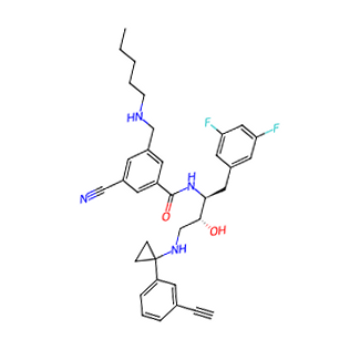 C#Cc1cccc(C2(NC[C@@H](O)[C@H](Cc3cc(F)cc(F)c3)NC(=O)c3cc(C#N)cc(CNCCCCC)c3)CC2)c1